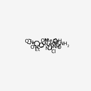 CCN1C(=O)[C@H](N2CCOCC2)CCc2c1ccc(Nc1ncc(Cl)c(N[C@H]3[C@@H](C(N)=O)[C@@H]4C=C[C@H]3C4)n1)c2OC